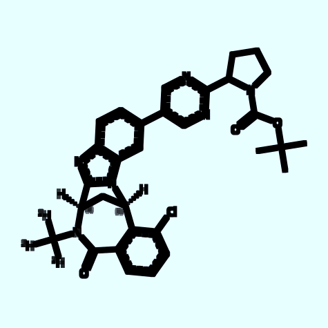 [2H]C([2H])([2H])N1C(=O)c2cccc(Cl)c2[C@H]2C[C@@H]1c1nc3ccc(-c4cnc(C5CCCN5C(=O)OC(C)(C)C)nc4)cc3n12